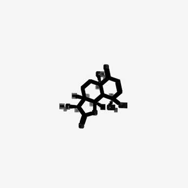 C[C@@H]1C(=O)O[C@@H]2C3[C@@](C)(CC[C@@H]12)C(=O)C=C[C@@]3(C)O